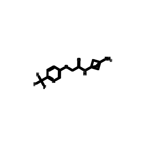 NC12CC(NC(=O)COc3ccc(C(F)(F)F)nc3)(C1)C2